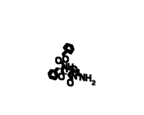 NC1CO[C@@H]2[C@@H](C(=O)[C@H](Cc3ccccc3)NC(=O)OCc3ccccc3)C(=O)N12